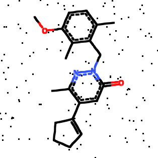 COc1ccc(C)c(Cn2nc(C)c(C3=CCCC3)cc2=O)c1C